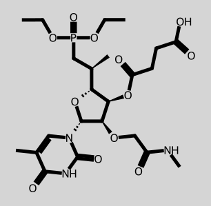 CCOP(=O)(C[C@@H](C)[C@H]1O[C@@H](n2cc(C)c(=O)[nH]c2=O)[C@H](OCC(=O)NC)[C@@H]1OC(=O)CCC(=O)O)OCC